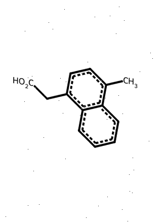 Cc1ccc(CC(=O)O)c2ccccc12